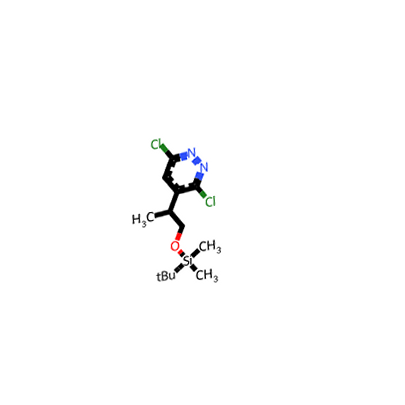 CC(CO[Si](C)(C)C(C)(C)C)c1cc(Cl)nnc1Cl